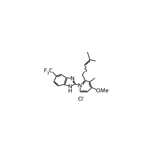 COc1cc[n+](-c2nc3cc(C(F)(F)F)ccc3[nH]2)c(CSC=C(C)C)c1C.[Cl-]